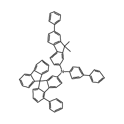 CC1(C)c2cc(-c3ccccc3)ccc2-c2ccc(N(c3ccc(-c4ccccc4)cc3)c3ccc4c(c3)C3(c5ccccc5-c5ccccc53)c3cccc(-c5ccccc5)c3-4)cc21